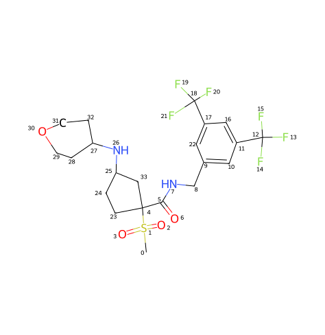 CS(=O)(=O)C1(C(=O)NCc2cc(C(F)(F)F)cc(C(F)(F)F)c2)CCC(NC2CCOCC2)C1